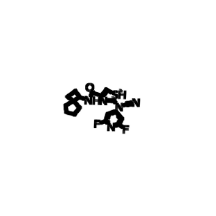 C[SH]1C=C(C(=O)NC2CCC23CCCC3)N=C1N(C#N)c1cc(F)nc(F)c1